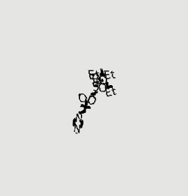 CCC(C)(C)OP(=O)(OC(C)(CC)CC)SCCOC(=O)C(C)(C)CCN1CCN(C)CC1